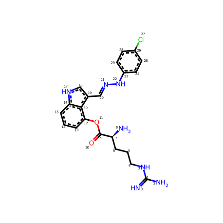 N=C(N)NCCC[C@H](N)C(=O)Oc1cccc2[nH]cc(/C=N/Nc3ccc(Cl)cc3)c12